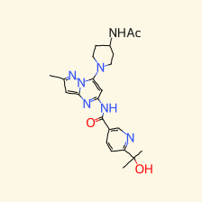 CC(=O)NC1CCN(c2cc(NC(=O)c3ccc(C(C)(C)O)nc3)nc3cc(C)nn23)CC1